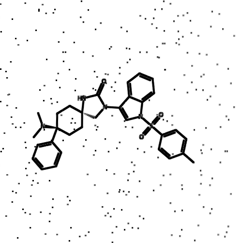 Cc1ccc(S(=O)(=O)n2cc(N3C[C@]4(CC[C@](c5ccccc5)(N(C)C)CC4)NC3=O)c3ccccc32)cc1